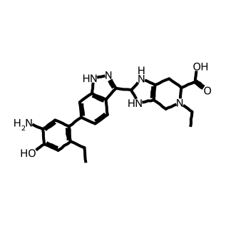 CCc1cc(O)c(N)cc1-c1ccc2c(C3NC4=C(CN(CC)C(C(=O)O)C4)N3)n[nH]c2c1